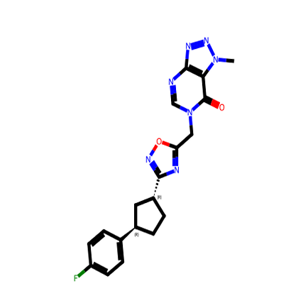 Cn1nnc2ncn(Cc3nc([C@@H]4CC[C@@H](c5ccc(F)cc5)C4)no3)c(=O)c21